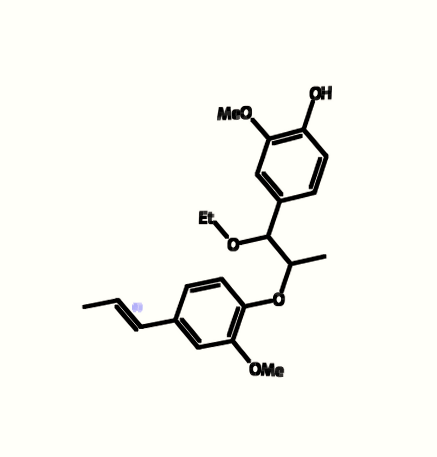 C/C=C/c1ccc(OC(C)C(OCC)c2ccc(O)c(OC)c2)c(OC)c1